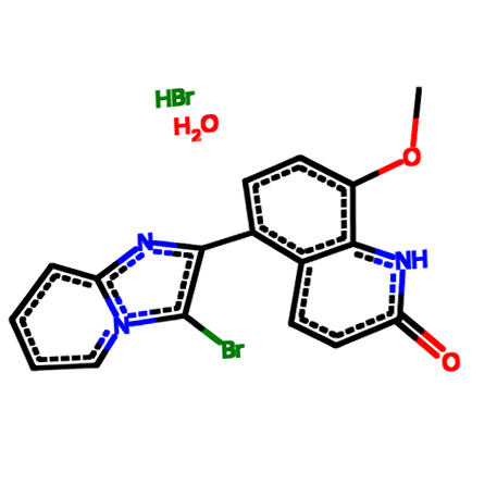 Br.COc1ccc(-c2nc3ccccn3c2Br)c2ccc(=O)[nH]c12.O